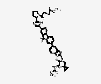 COC(=O)NCC(=O)N(Cc1nc2ccc(-c3ccc4c(c3)C(F)(F)c3cc(-c5cnc(C6CCCN6C(=O)CNC(=O)OC)[nH]5)ccc3-4)cc2[nH]1)CC1(C)CC1